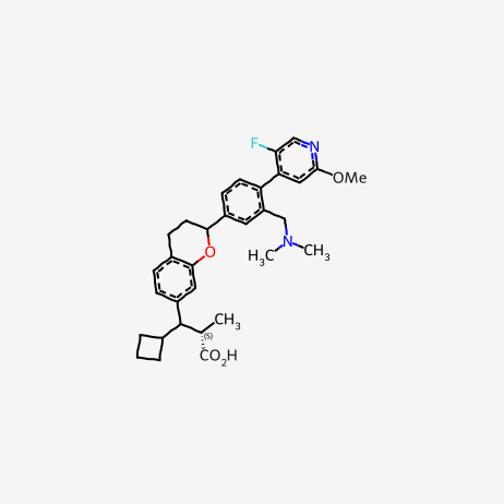 COc1cc(-c2ccc(C3CCc4ccc(C(C5CCC5)[C@H](C)C(=O)O)cc4O3)cc2CN(C)C)c(F)cn1